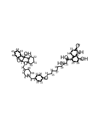 O=C(OCC1CCN(Cc2ccc(OCCCCCCNC[C@@H](O)c3ccc(O)c4[nH]c(=O)ccc34)cc2)CC1)C(O)(c1ccccc1)C1CCCCC1